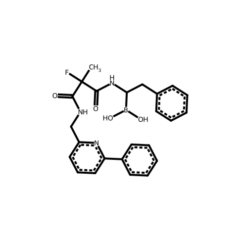 CC(F)(C(=O)NCc1cccc(-c2ccccc2)n1)C(=O)NC(Cc1ccccc1)B(O)O